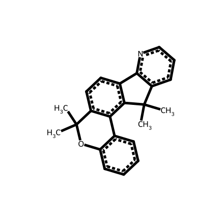 CC1(C)Oc2ccccc2-c2c1ccc1c2C(C)(C)c2cccnc2-1